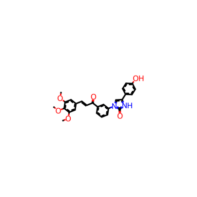 COc1cc(C=CC(=O)c2cccc(-n3cc(-c4ccc(O)cc4)[nH]c3=O)c2)cc(OC)c1OC